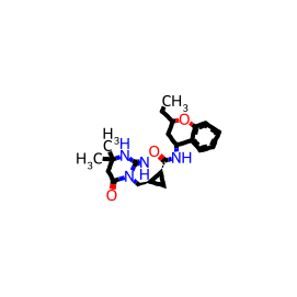 CCC1CC(NC(=O)[C@@H]2C[C@H]2CN2C(=N)NC(C)(C)CC2=O)c2ccccc2O1